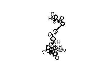 CC(C)(C)C[C@@H]1N[C@@H](C(=O)NC2CCC(C(=O)N3CCC(C#Cc4cccc5c4CN(C4CCC(=O)NC4=O)C5=O)CC3)CC2)[C@H](c2cccc(Cl)c2F)[C@]12C(=O)Nc1cc(Cl)ccc12